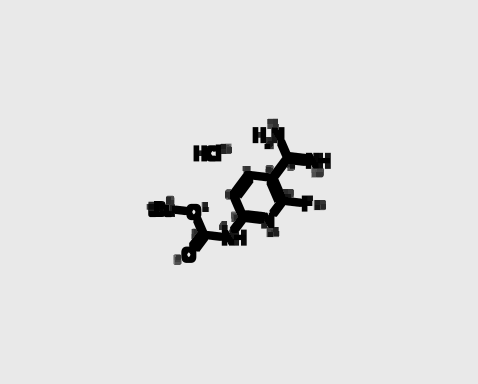 CC(C)(C)OC(=O)Nc1ccc(C(=N)N)c(F)n1.Cl